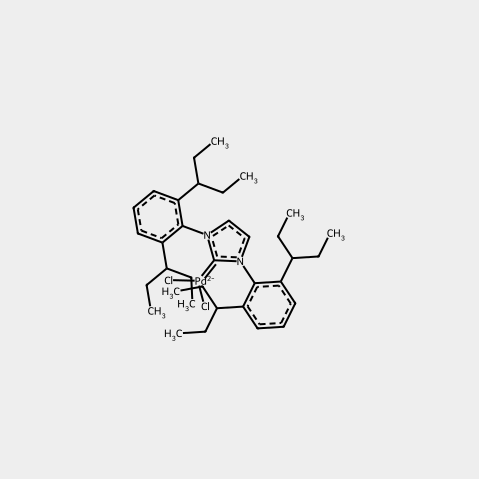 CCC(CC)c1cccc(C(CC)CC)c1-n1ccn(-c2c(C(CC)CC)cccc2C(CC)CC)[c]1=[Pd-2]([Cl])[Cl]